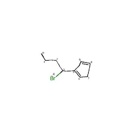 CCCC(Br)C1=[C]CC=C1